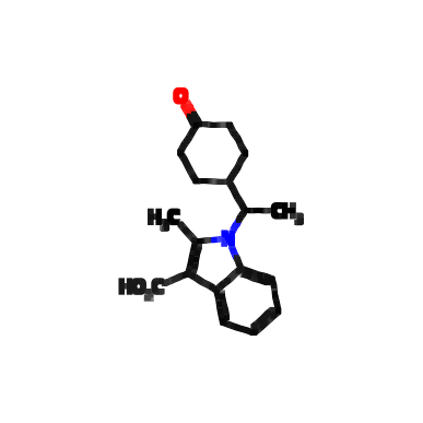 Cc1c(C(=O)O)c2ccccc2n1C(C)C1CCC(=O)CC1